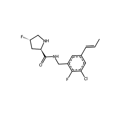 CC=Cc1cc(Cl)c(F)c(CNC(=O)[C@H]2C[C@H](F)CN2)c1